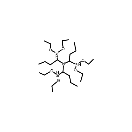 CCCC(N(C(CCC)[SiH](OCC)OCC)C(CCC)[SiH](OCC)OCC)[SiH](OCC)OCC